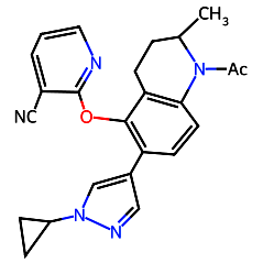 CC(=O)N1c2ccc(-c3cnn(C4CC4)c3)c(Oc3ncccc3C#N)c2CCC1C